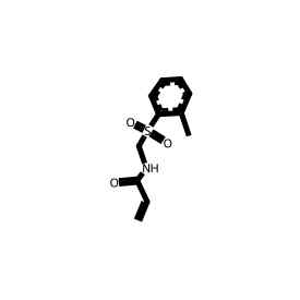 C=CC(=O)NCS(=O)(=O)c1ccccc1C